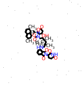 C[C@H]1C=C2C=C[C@H](C)[C@H](CC[C@@H]3C[C@@H](O)CC(=O)O3)[C@H]2[C@@H](OC(=O)NCCC(C)(C)CC(C)(C)CNc2cccc3c2C(=O)N(C2CCC(=O)NC2=O)C3=O)C1